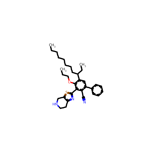 CCCCCCCCC(CC)c1cc(-c2ccccc2)c(C#N)c(-c2nc3c(s2)CNCC3)c1OCCC